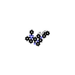 CC1(C)c2ccccc2-c2ccc(-n3c4ccccc4c4c3ccc3c5ccccc5n(-c5ccc(-c6nc(-c7ccccc7)nc(-c7ccccc7-c7ccccc7)n6)cc5C#N)c34)cc21